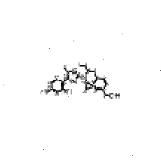 CCC(Cc1ccc(CO)cc1)N(c1nc(-c2ccc(Cl)cc2Cl)c(C)s1)C1CC1